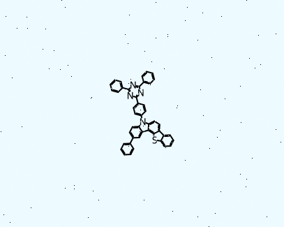 c1ccc(-c2ccc3c(c2)c2c4sc5ccccc5c4ccc2n3-c2ccc(-c3nc(-c4ccccc4)nc(-c4ccccc4)n3)cc2)cc1